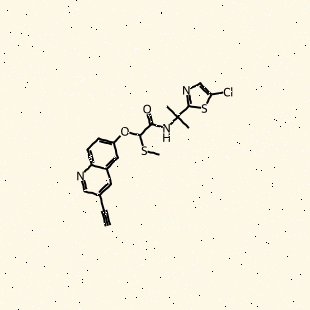 C#Cc1cnc2ccc(OC(SC)C(=O)NC(C)(C)c3ncc(Cl)s3)cc2c1